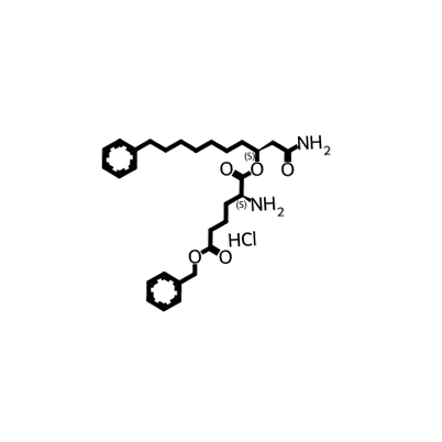 Cl.NC(=O)C[C@H](CCCCCCCc1ccccc1)OC(=O)[C@@H](N)CCCC(=O)OCc1ccccc1